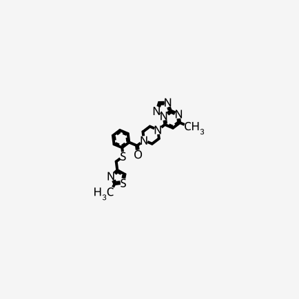 Cc1cc(N2CCN(C(=O)c3ccccc3SCc3csc(C)n3)CC2)n2ncnc2n1